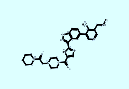 CCNCc1cncc(-c2ccc3[nH]nc(-c4ncc(C(=O)N5CCN(CC(=O)N6CCCCC6)CC5)[nH]4)c3c2)c1C